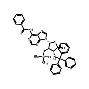 [CH2][C@@H]1O[C@@H](n2cnc3c(NC(=O)c4ccccc4)ncnc32)[C@H](O[Si](C)(C)C(C)(C)C)[C@@H]1NC(c1ccccc1)(c1ccccc1)c1ccccc1